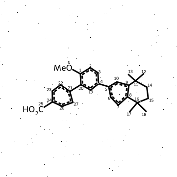 COc1ccc(-c2ccc3c(c2)C(C)(C)CCC3(C)C)cc1-c1ccc(C(=O)O)cc1